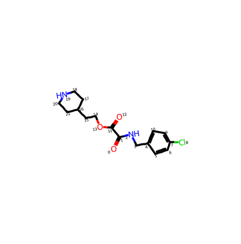 O=C(NCc1ccc(Cl)cc1)C(=O)OCCC1CCNCC1